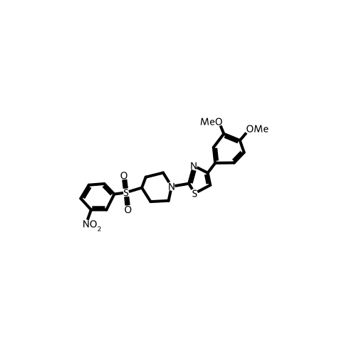 COc1ccc(-c2csc(N3CCC(S(=O)(=O)c4cccc([N+](=O)[O-])c4)CC3)n2)cc1OC